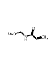 C=CC(=O)NCOC